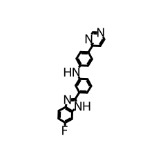 Fc1ccc2nc(-c3cccc(Nc4ccc(-c5ccncn5)cc4)c3)[nH]c2c1